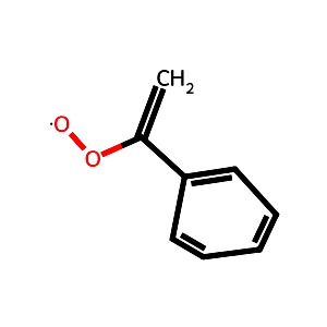 C=C(O[O])c1ccccc1